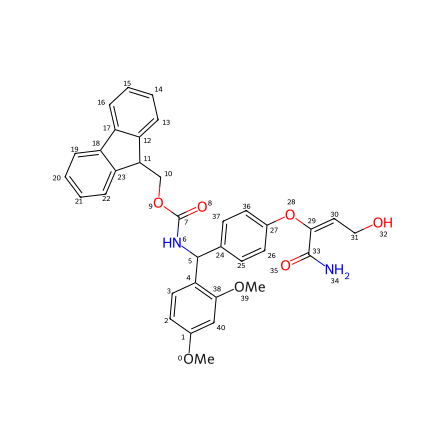 COc1ccc(C(NC(=O)OCC2c3ccccc3-c3ccccc32)c2ccc(OC(=CCO)C(N)=O)cc2)c(OC)c1